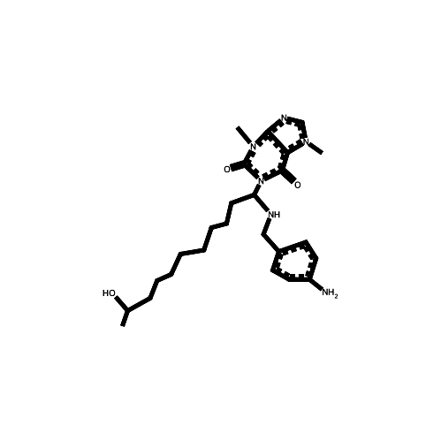 CC(O)CCCCCCCCC(NCc1ccc(N)cc1)n1c(=O)c2c(ncn2C)n(C)c1=O